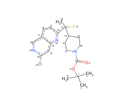 CC(C)(C)OC(=O)N1CCC(C(C)(F)c2ccc3cnc(Cl)cc3n2)CC1